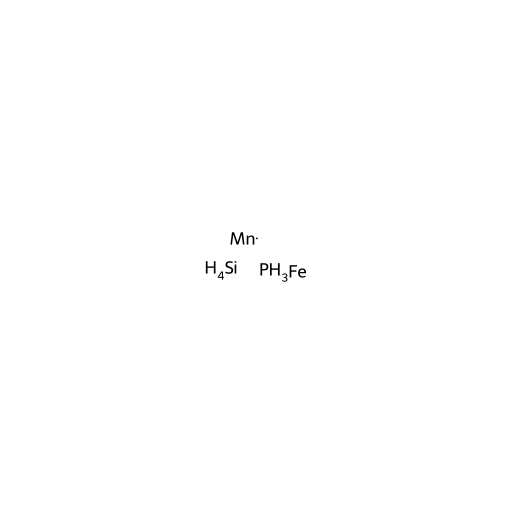 P.[Fe].[Mn].[SiH4]